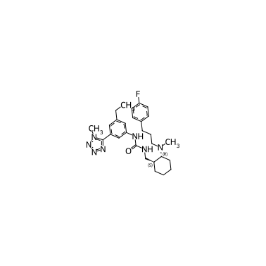 CCc1cc(NC(=O)NC[C@@H]2CCCC[C@H]2N(C)CCCc2ccc(F)cc2)cc(-c2nnnn2C)c1